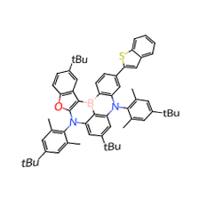 Cc1cc(C(C)(C)C)cc(C)c1N1c2cc(-c3cc4ccccc4s3)ccc2B2c3c1cc(C(C)(C)C)cc3N(c1c(C)cc(C(C)(C)C)cc1C)c1oc3ccc(C(C)(C)C)cc3c12